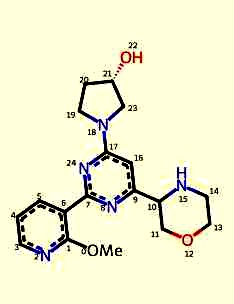 COc1ncccc1-c1nc(C2COCCN2)cc(N2CC[C@H](O)C2)n1